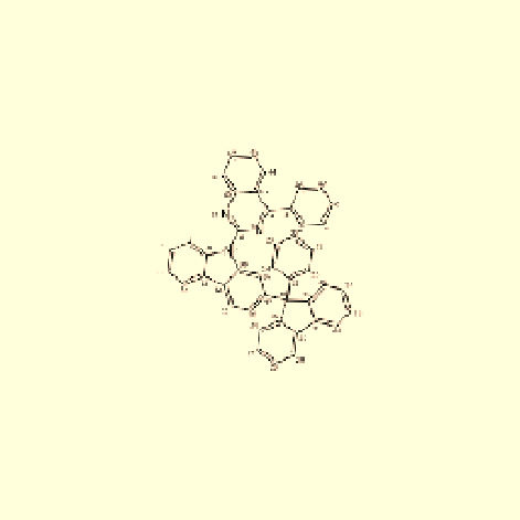 c1ccc(-c2nc(-n3c4ccccc4c4ccc(C5(c6ccccc6)c6ccccc6-c6ccccc65)cc43)nc3ccccc23)cc1